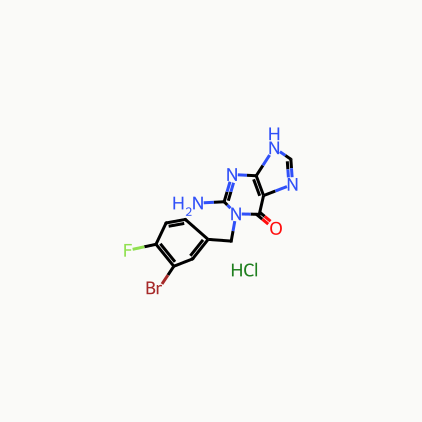 Cl.Nc1nc2[nH]cnc2c(=O)n1Cc1ccc(F)c(Br)c1